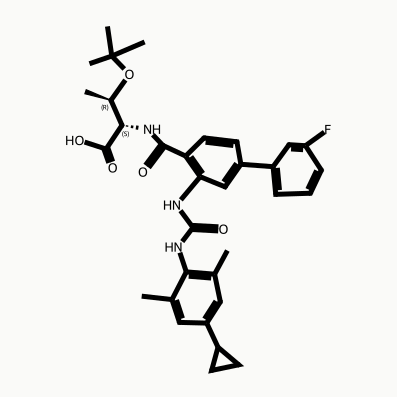 Cc1cc(C2CC2)cc(C)c1NC(=O)Nc1cc(-c2cccc(F)c2)ccc1C(=O)N[C@H](C(=O)O)[C@@H](C)OC(C)(C)C